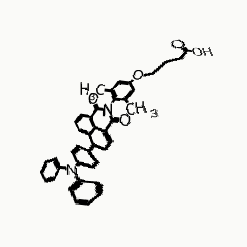 Cc1cc(OCCCC(=O)O)cc(C)c1N1C(=O)c2cccc3c(-c4ccc(N(c5ccccc5)c5ccccc5)cc4)ccc(c23)C1=O